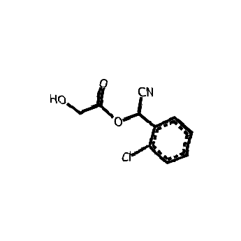 N#CC(OC(=O)CO)c1ccccc1Cl